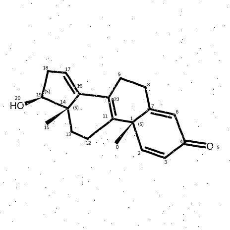 C[C@]12C=CC(=O)C=C1CCC1=C2CC[C@@]2(C)C1=CC[C@@H]2O